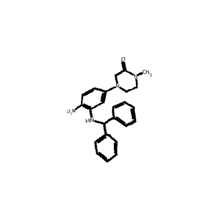 CN1CCN(c2ccc([N+](=O)[O-])c(NC(c3ccccc3)c3ccccc3)c2)CC1=O